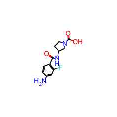 Nc1ccc(C(=O)NC2CCN(C(=O)O)C2)c(F)c1